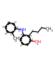 CCCCc1c(O)cccc1Nc1ccccc1C